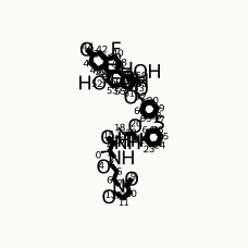 C[C@H](NC(=O)CCN1C(=O)C=CC1=O)C(=O)N[C@@H](C)C(=O)Nc1cccc(Sc2ccc([C@@H]3O[C@@H]4C[C@H]5[C@@H]6C[C@H](F)C7=CC(=O)C=C[C@]7(C)[C@@]6(F)[C@@H](O)C[C@]5(C)[C@]4(C(=O)CO)O3)cc2)c1